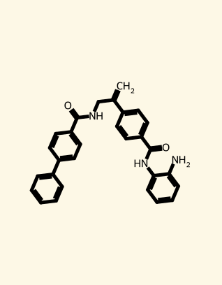 C=C(CNC(=O)c1ccc(-c2ccccc2)cc1)c1ccc(C(=O)Nc2ccccc2N)cc1